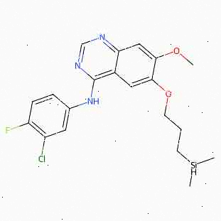 COc1cc2ncnc(Nc3ccc(F)c(Cl)c3)c2cc1OCCC[SiH](C)C